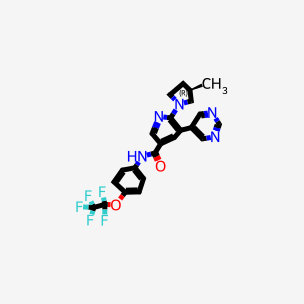 C[C@@H]1CCN(c2ncc(C(=O)Nc3ccc(OC(F)(F)C(F)(F)F)cc3)cc2-c2cncnc2)C1